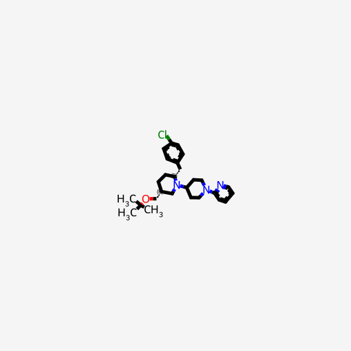 CC(C)(C)OC[C@@H]1CC[C@H](Cc2ccc(Cl)cc2)N(C2CCN(c3ccccn3)CC2)C1